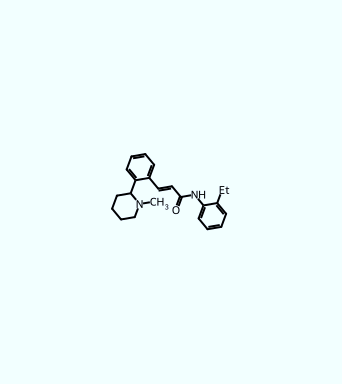 CCc1ccccc1NC(=O)C=Cc1ccccc1C1CCCCN1C